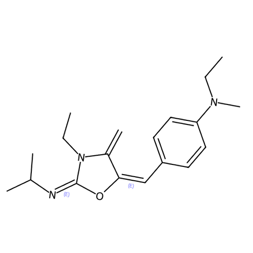 C=c1/c(=C\c2ccc(N(C)CC)cc2)o/c(=N/C(C)C)n1CC